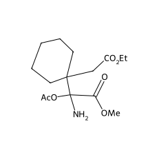 CCOC(=O)CC1(C(N)(OC(C)=O)C(=O)OC)CCCCC1